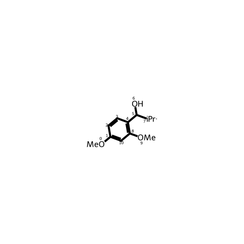 COc1ccc(C(O)[C](C)C)c(OC)c1